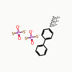 O=P([O-])([S-])[S-].O=P([O-])([S-])[S-].[Zn+2].[Zn+2].[Zn+2].c1ccc(-c2ccccc2)cc1